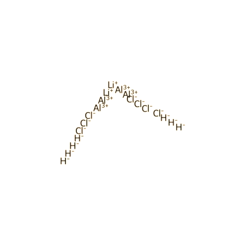 [Al+3].[Al+3].[Al+3].[Al+3].[Cl-].[Cl-].[Cl-].[Cl-].[Cl-].[Cl-].[Cl-].[H-].[H-].[H-].[H-].[H-].[H-].[H-].[Li+].[Li+]